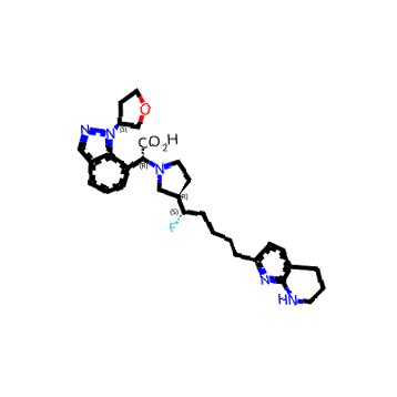 O=C(O)[C@@H](c1cccc2cnn([C@H]3CCOC3)c12)N1CC[C@@H]([C@@H](F)CCCCc2ccc3c(n2)NCCC3)C1